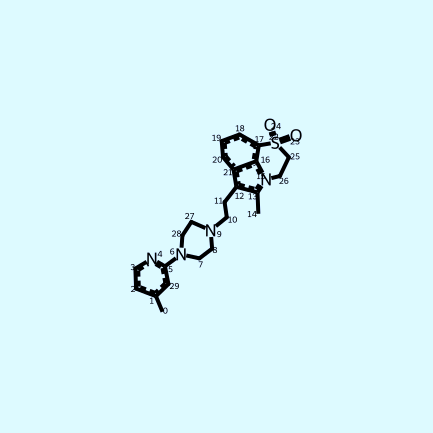 Cc1ccnc(N2CCN(CCc3c(C)n4c5c(cccc35)S(=O)(=O)CC4)CC2)c1